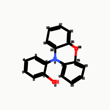 Oc1ccccc1N1c2ccccc2Oc2ccccc21